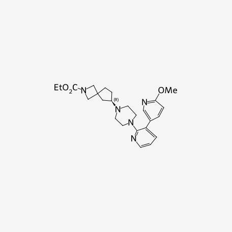 CCOC(=O)N1CC2(CC[C@@H](N3CCN(c4ncccc4-c4ccc(OC)nc4)CC3)C2)C1